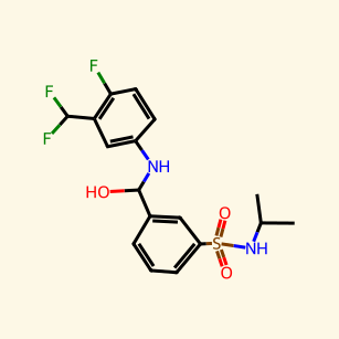 CC(C)NS(=O)(=O)c1cccc(C(O)Nc2ccc(F)c(C(F)F)c2)c1